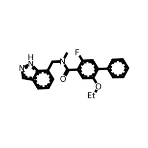 CCOc1cc(C(=O)N(C)Cc2cccc3cn[nH]c23)c(F)cc1-c1ccccc1